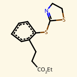 CCOC(=O)CCc1ccccc1SC1=NCCS1